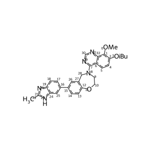 COc1c(OCC(C)C)ccc2c(N3CCOc4ccc(-c5ccc6nc(C)[nH]c6c5)cc4C3)ncnc12